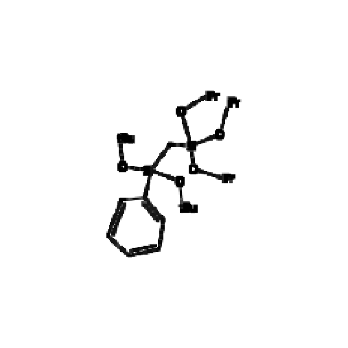 CC(C)O[Si](C[Si](OC(C)(C)C)(OC(C)(C)C)c1ccccc1)(OC(C)C)OC(C)C